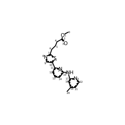 COC(=O)CCCc1ncc(-c2cccc(Nc3cc(C)ccn3)n2)s1